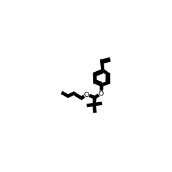 C=Cc1ccc(OC(OCCCC)C(C)(C)C)cc1